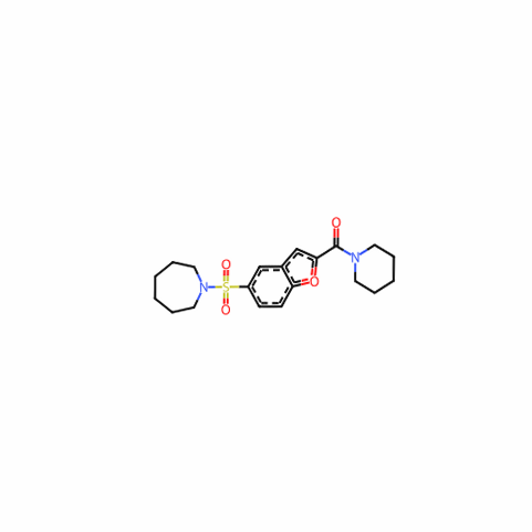 O=C(c1cc2cc(S(=O)(=O)N3CCCCCC3)ccc2o1)N1CCCCC1